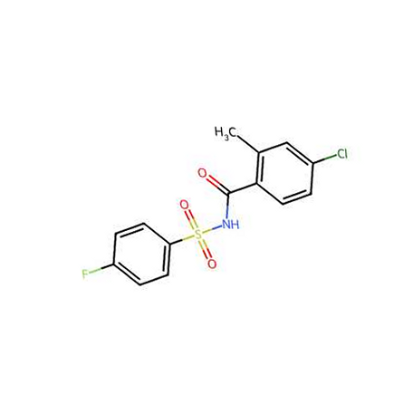 Cc1cc(Cl)ccc1C(=O)NS(=O)(=O)c1ccc(F)cc1